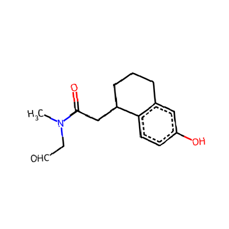 CN(CC=O)C(=O)CC1CCCc2cc(O)ccc21